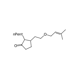 CCCCCC1C(=O)CCC1CCOCC=C(C)C